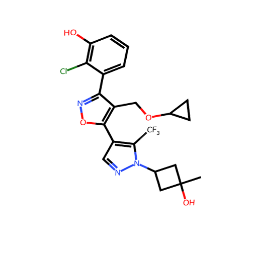 CC1(O)CC(n2ncc(-c3onc(-c4cccc(O)c4Cl)c3COC3CC3)c2C(F)(F)F)C1